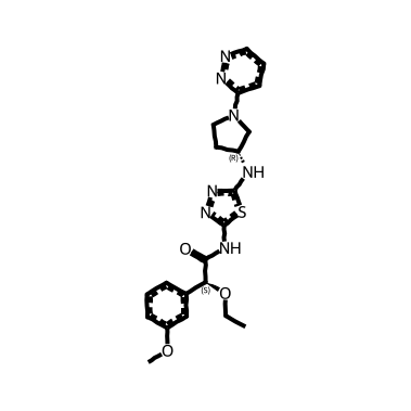 CCO[C@H](C(=O)Nc1nnc(N[C@@H]2CCN(c3cccnn3)C2)s1)c1cccc(OC)c1